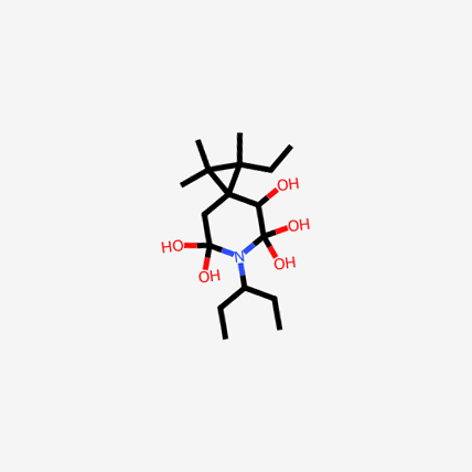 CCC(CC)N1C(O)(O)CC2(C(O)C1(O)O)C(C)(C)C2(C)CC